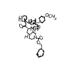 COc1ccc(S(=O)(=O)N2[C@H](C(=O)NO)C[C@@H]3CCN(C(=O)OCc4ccccc4)C[C@@H]32)cc1